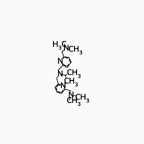 CC(C)N(Cc1cccc(CN(C)C)n1)Cc1cccc(CN(C)C)n1